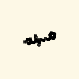 N[C@@H](Cc1c[nH]cn1)C(=O)NCOCc1ccccc1